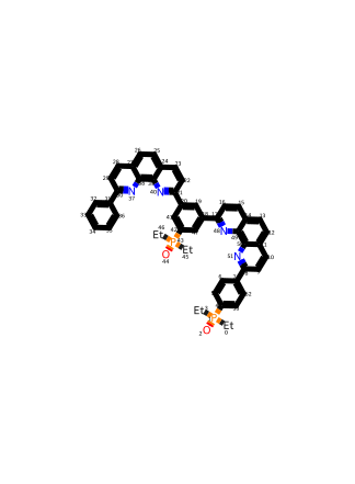 CCP(=O)(CC)c1ccc(-c2ccc3ccc4ccc(-c5cc(-c6ccc7ccc8ccc(-c9ccccc9)nc8c7n6)cc(P(=O)(CC)CC)c5)nc4c3n2)cc1